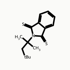 CC(C)(C)CC(C)(C)N1C(=S)c2ccccc2C1=S